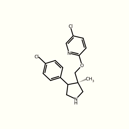 C[C@]1(COc2ccc(Cl)cn2)CNCC1c1ccc(Cl)cc1